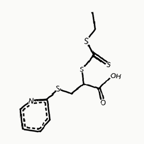 CCSC(=S)SC(CSc1ccccn1)C(=O)O